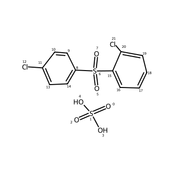 O=S(=O)(O)O.O=S(=O)(c1ccc(Cl)cc1)c1ccccc1Cl